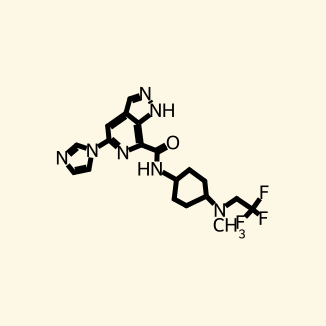 CN(CC(F)(F)F)C1CCC(NC(=O)c2nc(-n3ccnc3)cc3cn[nH]c23)CC1